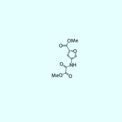 COC(=O)C(=O)Nc1coc(C(=O)OC)c1